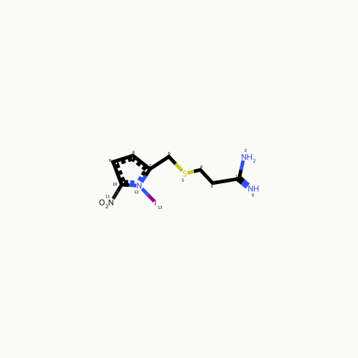 N=C(N)CCSCc1ccc([N+](=O)[O-])n1I